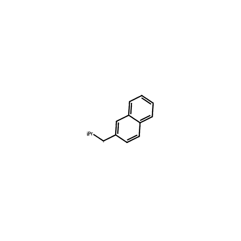 CC(C)[CH]c1ccc2ccccc2c1